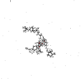 COc1ccc(CN(C(=O)C2C(c3ccc(CCCOc4c(F)ccc(F)c4Cl)cc3)CC3CC(COC(=O)Oc4cccc(CON(O)O)c4)CC2N3C(=O)Oc2cccc(CON(O)O)c2)C2CC2)cc1C